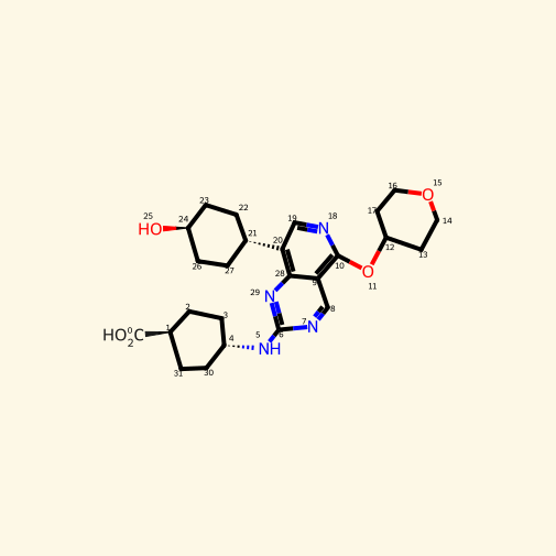 O=C(O)[C@H]1CC[C@H](Nc2ncc3c(OC4CCOCC4)ncc([C@H]4CC[C@H](O)CC4)c3n2)CC1